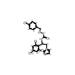 O=C(SOCc1ccc(Cl)cc1)SC(Cn1ccnc1)c1c(Cl)cc(Cl)cc1Cl